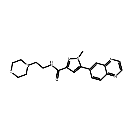 Cn1nc(C(=O)NCCN2CCOCC2)cc1-c1ccc2nccnc2c1